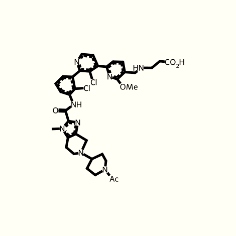 COc1nc(-c2ccnc(-c3cccc(NC(=O)c4nc5c(n4C)CCN(C4CCN(C(C)=O)CC4)C5)c3Cl)c2Cl)ccc1CNCCC(=O)O